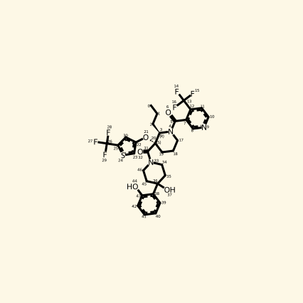 CCC[C@H]1N(C(=O)c2cnccc2C(F)(F)F)CCC[C@@]1(Oc1csc(C(F)(F)F)c1)C(=O)N1CCC(O)(c2ccccc2O)CC1